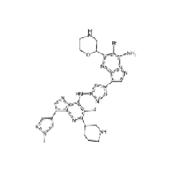 Cn1cc(-c2cnn3c(Nn4cc(-c5cnn6c(N)c(Br)c(C7CNCCO7)nc56)cn4)c(F)c(C4CCCNC4)nc23)cn1